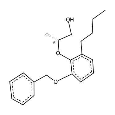 CCCCc1cccc(OCc2ccccc2)c1O[C@H](C)CO